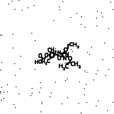 CCCOc1nc(OC(C)CC)nc2oc(-c3cc(C)c(OCC(=O)O)c(C)c3)nc12